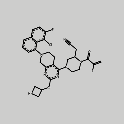 C=C(F)C(=O)N1CCN(c2nc(OC3CNC3)nc3c2CCN(c2cccc4ccc(F)c(Cl)c24)C3)CC1CC#N